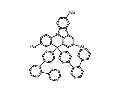 CC(C)(C)c1ccc2c(c1)C(c1ccc(-c3ccccc3-c3ccccc3)cc1)(c1ccc(-c3ccccc3-c3ccccc3)cc1)c1cc(C(C)(C)C)cc3c4cc(C(C)(C)C)ccc4n-2c13